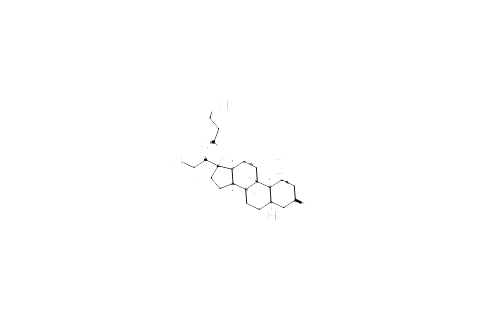 CCCC(=O)O[C@]1(C(=O)CCl)[C@@H](C)C[C@H]2[C@@H]3CC[C@@H]4CC(=O)CC[C@]4(C)[C@@]3(F)[C@@H](O)C[C@@]21C